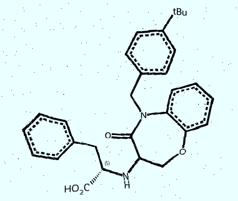 CC(C)(C)c1ccc(CN2C(=O)C(N[C@@H](Cc3ccccc3)C(=O)O)COc3ccccc32)cc1